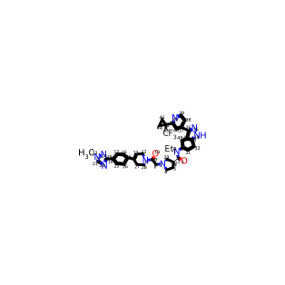 CCN(C(=O)[C@@H]1CCN(CC(=O)N2CC=C(c3ccc(-c4ncn(C)n4)cc3)CC2)C1)c1ccc2[nH]nc(-c3ccnc(C4(C(F)(F)F)CC4)c3)c2c1